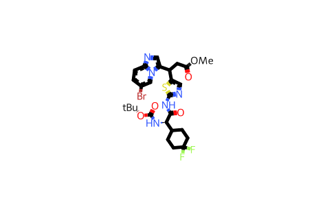 COC(=O)CC(c1cnc(NC(=O)[C@@H](NC(=O)OC(C)(C)C)C2CCC(F)(F)CC2)s1)c1cnc2ccc(Br)cn12